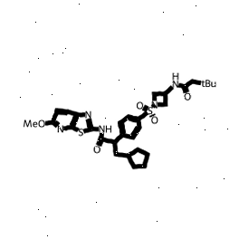 COc1ccc2nc(NC(=O)C(CC3CCCC3)c3ccc(S(=O)(=O)N4CC(NC(=O)CC(C)(C)C)C4)cc3)sc2n1